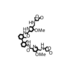 COc1cc(C(=O)Nc2cccc(-c3cccc(NC(=O)c4cc(OC)c(CN[C@@H]5COC(=O)C5)cn4)c3C)c2C)ncc1CN[C@@H]1COC(=O)C1